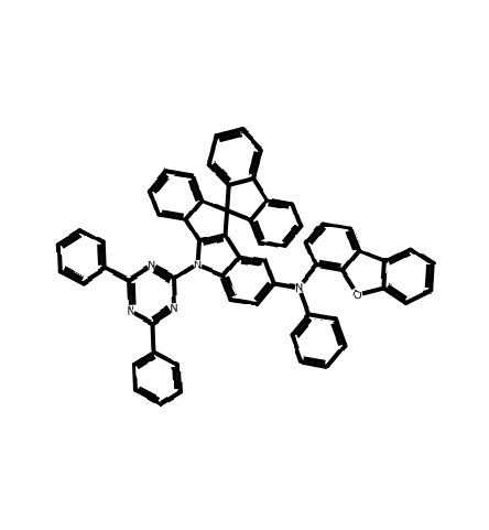 c1ccc(-c2nc(-c3ccccc3)nc(-n3c4c(c5cc(N(c6ccccc6)c6cccc7c6oc6ccccc67)ccc53)C3(c5ccccc5-c5ccccc53)c3ccccc3-4)n2)cc1